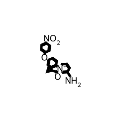 NCC1=C[N+](C(=O)C2CC2)(c2ccc(Oc3ccc([N+](=O)[O-])cc3)cc2)CC=C1